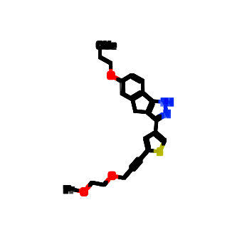 COCCOc1ccc2c(c1)Cc1c(-c3csc(C#CCOCCOC(C)C)c3)n[nH]c1-2